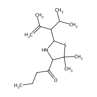 C=C(C)C(C(C)C)C1NC(C(=O)CCC)C(C)(C)S1